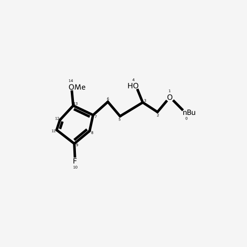 CCCCOCC(O)CCc1cc(F)ccc1OC